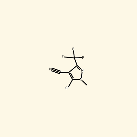 Cn1nc(C(F)(F)F)c(C#N)c1Cl